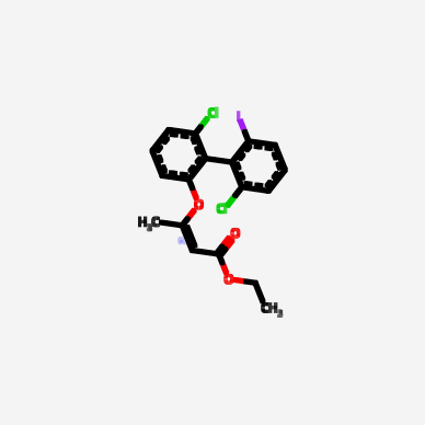 CCOC(=O)/C=C(/C)Oc1cccc(Cl)c1-c1c(Cl)cccc1I